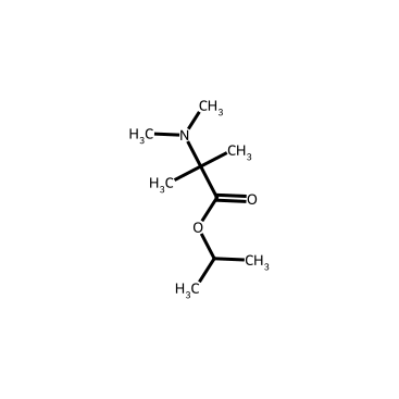 CC(C)OC(=O)C(C)(C)N(C)C